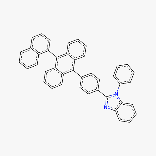 c1ccc(-n2c(-c3ccc(-c4c5ccccc5c(-c5cccc6ccccc56)c5ccccc45)cc3)nc3ccccc32)cc1